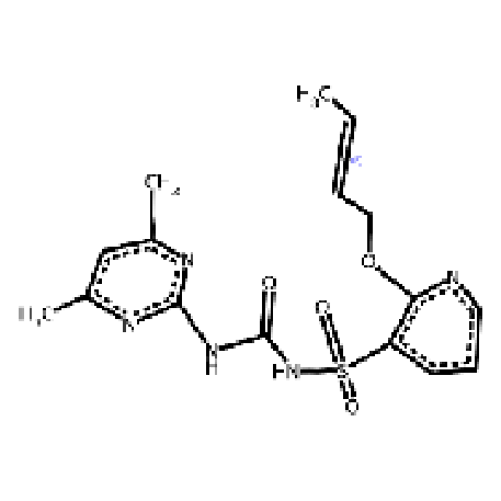 C/C=C/COc1ncccc1S(=O)(=O)NC(=O)Nc1nc(C)cc(C)n1